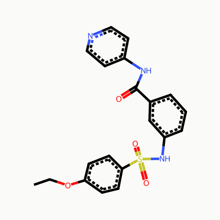 CCOc1ccc(S(=O)(=O)Nc2cccc(C(=O)Nc3ccncc3)c2)cc1